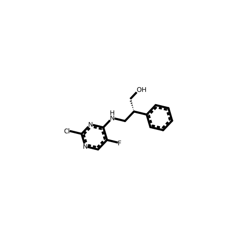 OC[C@@H](CNc1nc(Cl)ncc1F)c1ccccc1